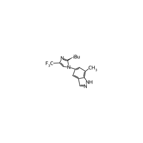 CC[C@H](C)c1nc(C(F)(F)F)cn1-c1cc(C)c2[nH]ncc2c1